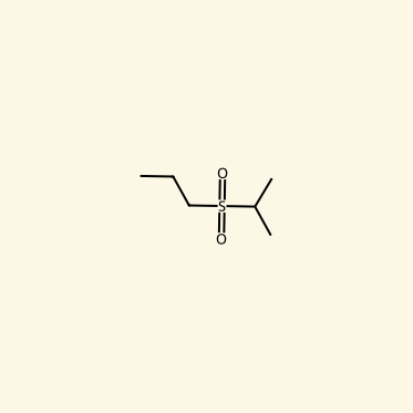 CCCS(=O)(=O)C(C)C